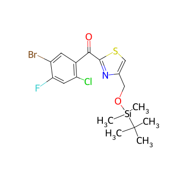 CC(C)(C)[Si](C)(C)OCc1csc(C(=O)c2cc(Br)c(F)cc2Cl)n1